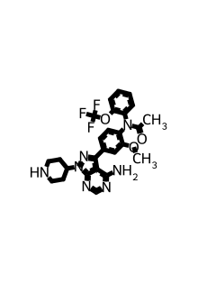 COc1cc(-c2nn(C3CCNCC3)c3ncnc(N)c23)ccc1N(C(C)=O)c1ccccc1OC(F)(F)F